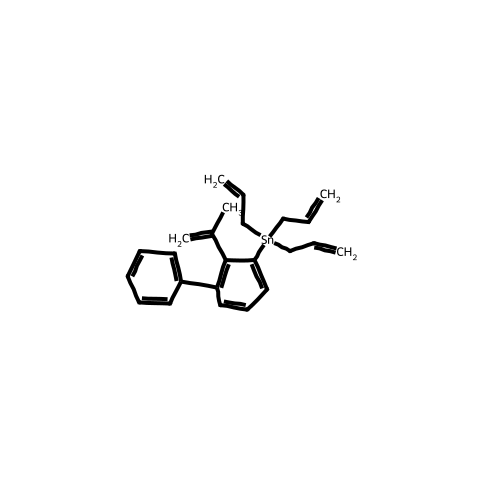 C=C[CH2][Sn]([CH2]C=C)([CH2]C=C)[c]1cccc(-c2ccccc2)c1C(=C)C